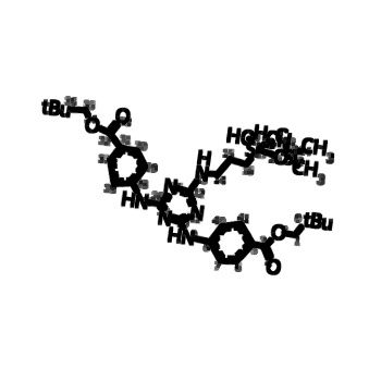 CC(C)(C)COC(=O)c1ccc(Nc2nc(NCCC[Si](C)(O)O[Si](C)(C)C)nc(Nc3ccc(C(=O)OCC(C)(C)C)cc3)n2)cc1